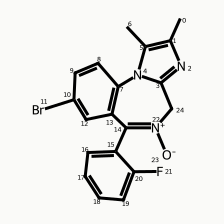 Cc1nc2n(c1C)-c1ccc(Br)cc1C(c1ccccc1F)=[N+]([O-])C2